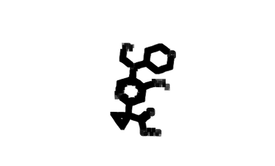 COC(=O)C1(c2cc(N)c(N(CC(C)C)C3CCOCC3)cn2)CC1